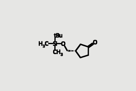 CC(C)(C)[Si](C)(C)OC[C@H]1CCC(=O)C1